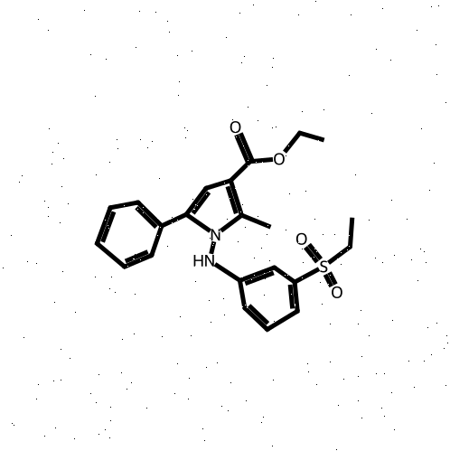 CCOC(=O)c1cc(-c2ccccc2)n(Nc2cccc(S(=O)(=O)CC)c2)c1C